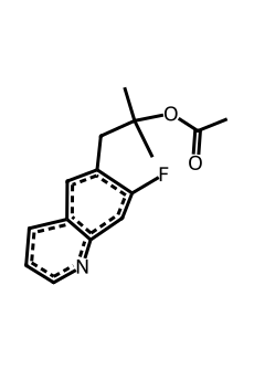 CC(=O)OC(C)(C)Cc1cc2cccnc2cc1F